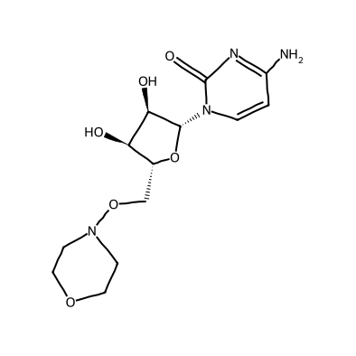 Nc1ccn([C@@H]2O[C@H](CON3CCOCC3)[C@@H](O)[C@H]2O)c(=O)n1